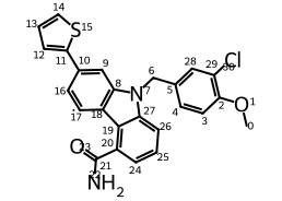 COc1ccc(Cn2c3cc(-c4cccs4)c[c]c3c3c(C(N)=O)cccc32)cc1Cl